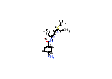 C=CS/C(CC)=C(C)/C=C(\C=C)NC(=O)C1=CC=C(N)CC1